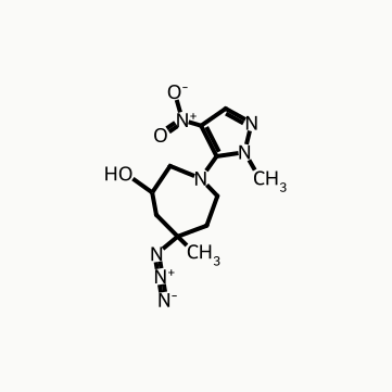 Cn1ncc([N+](=O)[O-])c1N1CCC(C)(N=[N+]=[N-])CC(O)C1